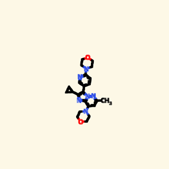 Cc1cc(N2CCOCC2)c2nc(C3CC3)c(-c3ccc(N4CCOCC4)nc3)n2n1